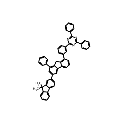 CC1(C)c2ccccc2-c2ccc(-c3cc(-c4ccccc4)c4c(c3)-c3cccc(-c5cccc(-c6nc(-c7ccccc7)nc(-c7ccccc7)n6)c5)c3C4)cc21